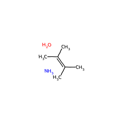 CC(C)=C(C)C.N.O